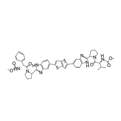 COC(=O)N[C@H](C(=O)N1CCCC1c1nc2cc(-c3cc4sc(-c5ccc6[nH]c(C7CCCN7C(=O)[C@H](NC(=O)OC)c7ccccc7)nc6c5)cc4s3)ccc2[nH]1)C(C)C